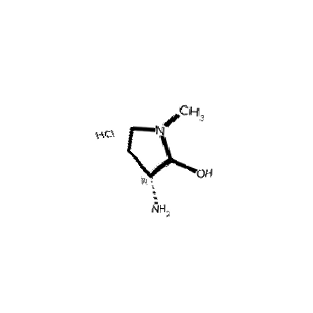 CN1CC[C@@H](N)C1O.Cl